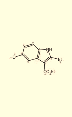 CCOC(=O)c1c(CC)[nH]c2ccc(O)cc12